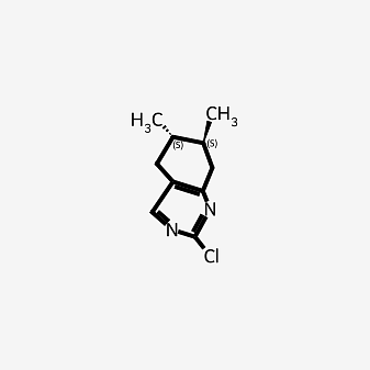 C[C@H]1Cc2cnc(Cl)nc2C[C@@H]1C